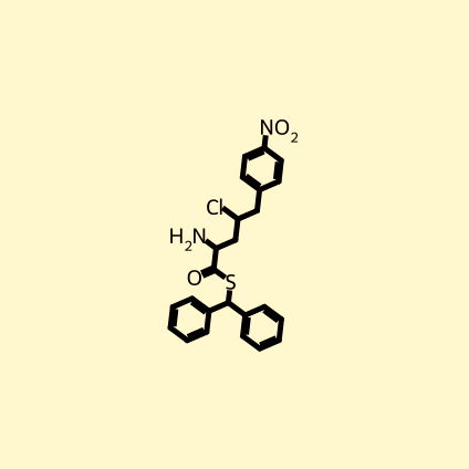 NC(CC(Cl)Cc1ccc([N+](=O)[O-])cc1)C(=O)SC(c1ccccc1)c1ccccc1